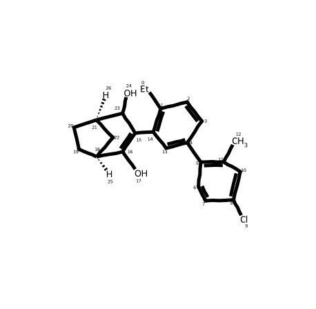 CCc1ccc(-c2ccc(Cl)cc2C)cc1C1=C(O)[C@H]2CC[C@H](C2)C1O